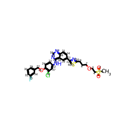 CS(=O)(=O)CCOCCCc1nc(-c2ccc3ncnc(Nc4ccc(OCc5cccc(F)c5)c(Cl)c4)c3c2)cs1